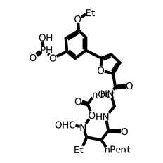 CCCCCCCCC(=O)ON(C=O)C(CC)C(CCCCC)C(=O)NCNC(=O)c1ccc(-c2cc(OCC)cc(O[PH](=O)O)c2)o1